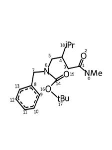 CNC(=O)CC(CN(Cc1ccccc1)C(=O)OC(C)(C)C)C(C)C